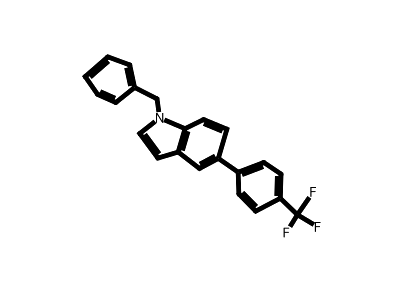 FC(F)(F)c1ccc(-c2ccc3c(ccn3Cc3ccccc3)c2)cc1